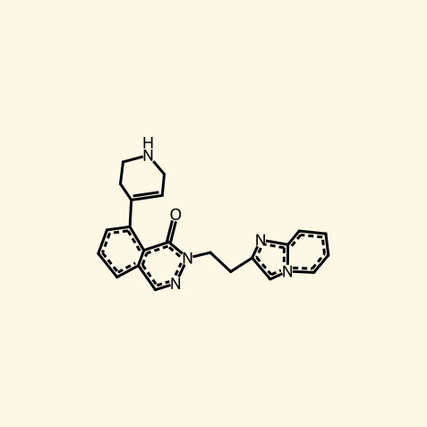 O=c1c2c(C3=CCNCC3)cccc2cnn1CCc1cn2ccccc2n1